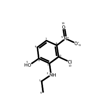 CCNc1c(O)ccc([N+](=O)[O-])c1Cl